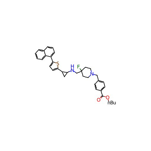 CCCCOC(=O)c1ccc(CN2CCC(F)(CNC3CC3c3ccc(-c4cccc5ccccc45)s3)CC2)cc1